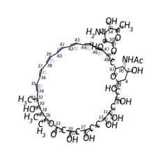 CC(=O)N[C@@H]1C(O)C[C@@]2(O)C[C@@H](O)C[C@@H](O)[C@H](O)CC[C@@H](O)C[C@@H](O)CC(=O)O[C@@H](C)[C@H](C)[C@H](O)[C@@H](C)/C=C/C=C/C=C/C=C/C=C/C=C/C=C/[C@H](O[C@@H]3O[C@H](C)[C@@H](O)[C@H](N)[C@@H]3O)CC1O2